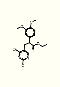 CCOC(=O)C(Cc1cnc(Cl)nc1Cl)c1ccc(OC)c(OC)c1